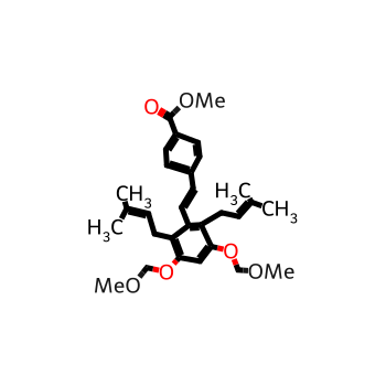 COCOc1cc(OCOC)c(CC=C(C)C)c(C=Cc2ccc(C(=O)OC)cc2)c1CC=C(C)C